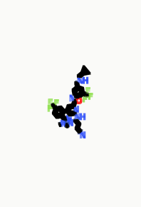 Cn1cnnc1-c1ccc(C(F)(F)F)cc1-c1cc(NCCCC#N)nc(-c2nc3cc(CNCC4CC4)cc(C(F)(F)F)c3o2)c1